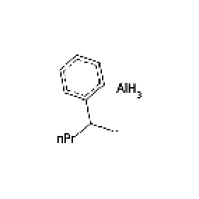 [AlH3].[CH2]C(CCC)c1ccccc1